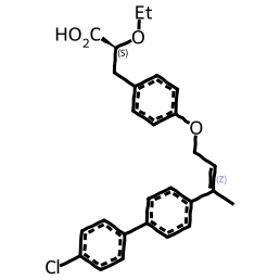 CCO[C@@H](Cc1ccc(OC/C=C(/C)c2ccc(-c3ccc(Cl)cc3)cc2)cc1)C(=O)O